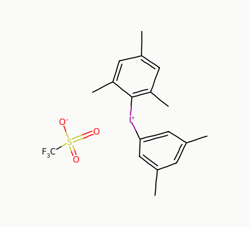 Cc1cc(C)cc([I+]c2c(C)cc(C)cc2C)c1.O=S(=O)([O-])C(F)(F)F